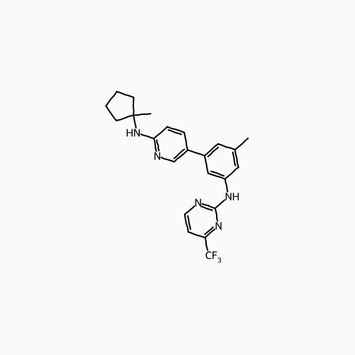 Cc1cc(Nc2nccc(C(F)(F)F)n2)cc(-c2ccc(NC3(C)CCCC3)nc2)c1